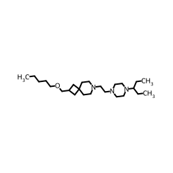 CCCCCOCC1CC2(CCN(CCN3CCN(C(CC)CC)CC3)CC2)C1